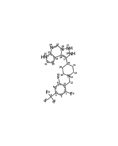 Fc1cc(C(F)(F)F)cc(F)c1CN1CCC(C2=C3c4cc[nH]c4N=CN3NN2)CC1